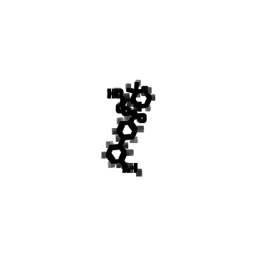 CC1(C)SCCN(S(=O)(=O)c2ccc(-c3cccc(N)c3)cc2)[C@H]1C(=O)O